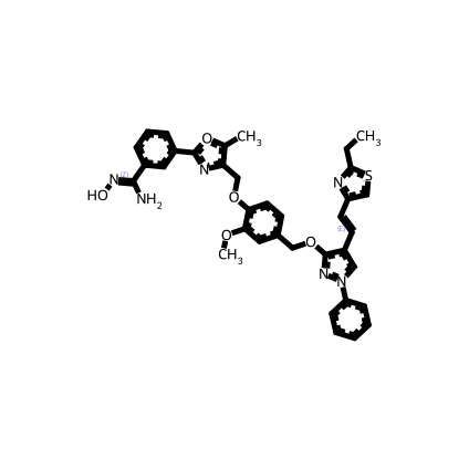 CCc1nc(/C=C/c2cn(-c3ccccc3)nc2OCc2ccc(OCc3nc(-c4cccc(/C(N)=N/O)c4)oc3C)c(OC)c2)cs1